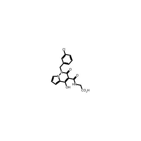 O=C(O)CNC(=O)c1c(O)c2cccn2n(Cc2cccc(Cl)c2)c1=O